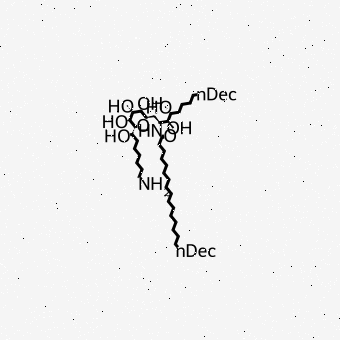 CCCCCCCCCCCCCCCCCCCCCCCCCC(=O)N[C@@H](C[C@H]1O[C@H](C(O)CCCCCCN)[C@H](O)[C@H](O)[C@H]1O)[C@H](O)[C@H](O)CCCCCCCCCCCCCC